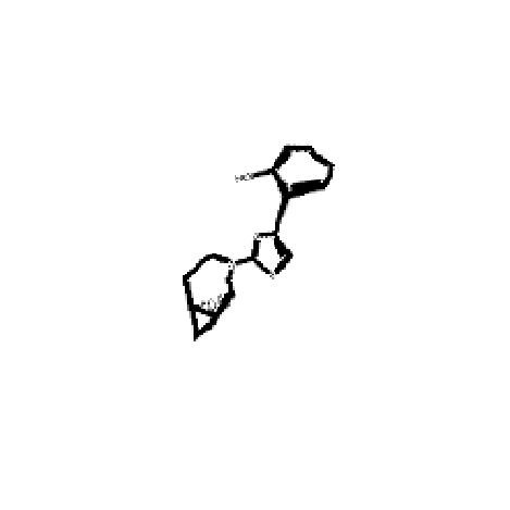 CCOC(=O)[C@@]12CCN(c3nc(-c4ccccc4O)cs3)CC1C2